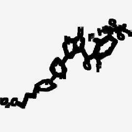 CCN(C)S(=O)(=O)Nc1ccc(F)c(C(=O)c2c[nH]c3ncc(-c4ccc(N5CCN(CCCC(=O)O)CC5)nc4)cc23)c1F